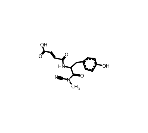 CN(C#N)C(=O)C(Cc1ccc(O)cc1)NC(=O)C=CC(=O)O